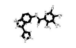 Cc1c(C(=O)Nc2ccc3[nH]nc(-c4cnoc4)c3c2)nc(Cl)c(C#N)c1C